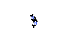 CC(C)CN1CCC2(CCN(C(C)C)CC2)C1